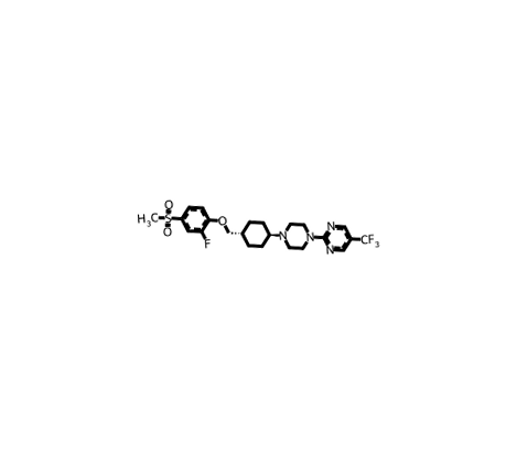 CS(=O)(=O)c1ccc(OC[C@H]2CC[C@H](N3CCN(c4ncc(C(F)(F)F)cn4)CC3)CC2)c(F)c1